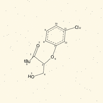 CC(C)(C)C(=O)C(CO)Oc1cccc(Cl)c1